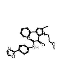 COCCn1c(C)cc(-c2ccccc2)c1C(=O)C(=O)Nc1ccc(-c2ncco2)cc1